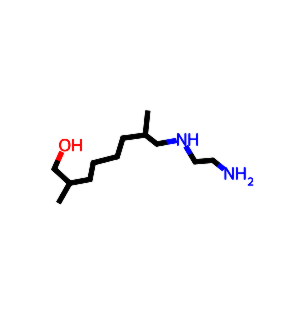 CC(CO)CCCCC(C)CNCCN